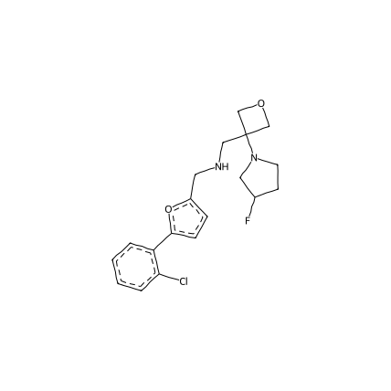 FC1CCN(C2(CNCc3ccc(-c4ccccc4Cl)o3)COC2)C1